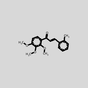 COc1ccc(C(=O)C=Cc2ccccc2C)c(OC)c1OC